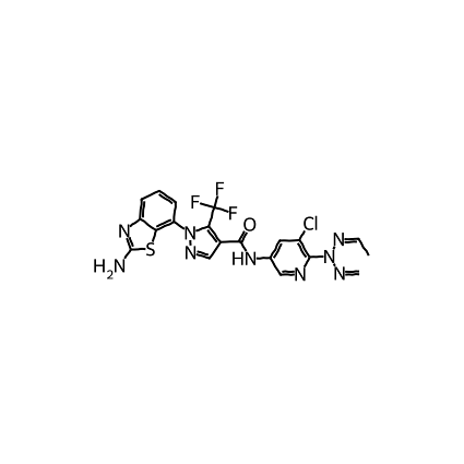 C=NN(/N=C\C)c1ncc(NC(=O)c2cnn(-c3cccc4nc(N)sc34)c2C(F)(F)F)cc1Cl